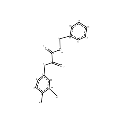 Cc1ccc(CC(=O)C(=O)OCc2ccccc2)cc1C